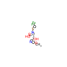 COc1ccc2nccc([C@@H](O)CC[C@@H]3CCN(CCSc4cccc(C(F)(F)F)c4)C[C@@H]3CC(=O)O)c2c1